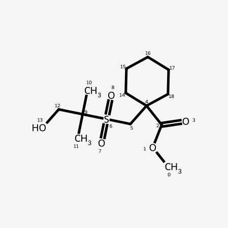 COC(=O)C1(CS(=O)(=O)C(C)(C)CO)CCCCC1